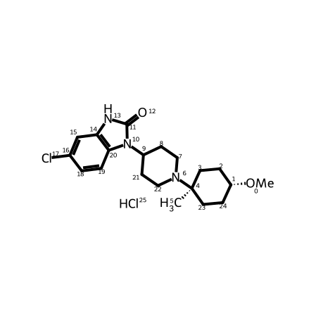 CO[C@H]1CC[C@](C)(N2CCC(n3c(=O)[nH]c4cc(Cl)ccc43)CC2)CC1.Cl